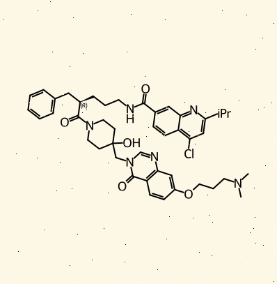 CC(C)c1cc(Cl)c2ccc(C(=O)NCCC[C@H](Cc3ccccc3)C(=O)N3CCC(O)(Cn4cnc5cc(OCCCN(C)C)ccc5c4=O)CC3)cc2n1